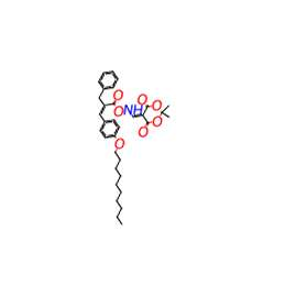 CCCCCCCCCCOc1ccc(C=C(Cc2ccccc2)C(=O)ONC=C2C(=O)OC(C)(C)OC2=O)cc1